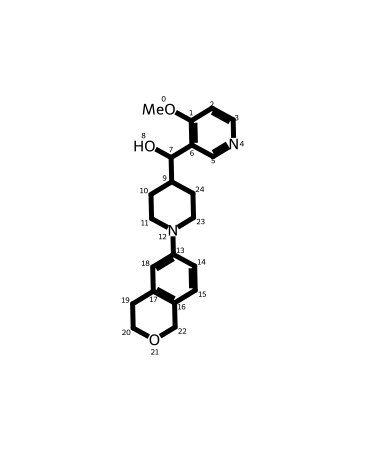 COc1ccncc1C(O)C1CCN(c2ccc3c(c2)CCOC3)CC1